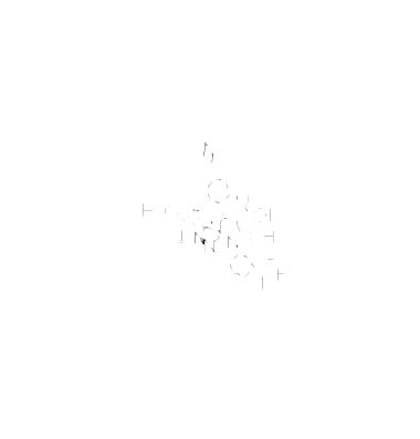 CSCCc1cc(C#N)ccc1[C@@H]1C(C(=O)O)=C(C)N(c2cccc(C(F)(F)F)c2)c2n[nH]c(=O)n21